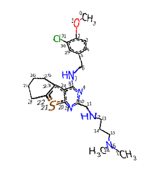 COc1ccc(CNc2nc(CNCCCN(C)C)nc3sc4c(c23)CCCC4)cc1Cl